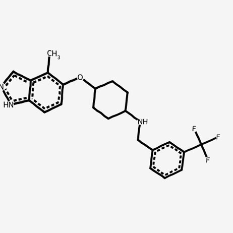 Cc1c(OC2CCC(NCc3cccc(C(F)(F)F)c3)CC2)ccc2[nH]ncc12